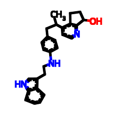 CC(Cc1ccc(NCCc2c[nH]c3ccccc23)cc1)c1ccnc2c1CCC2O